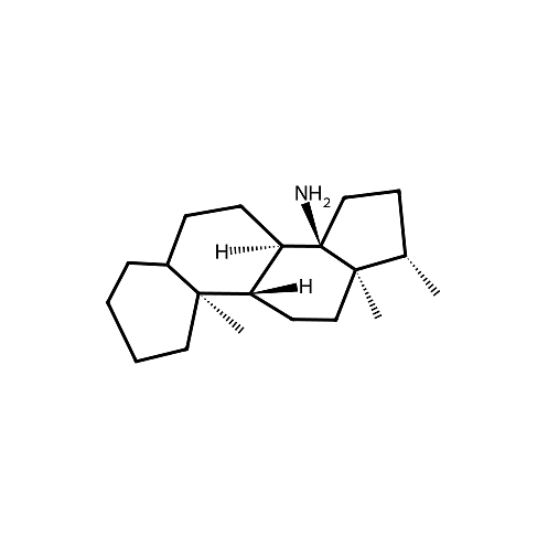 C[C@H]1CC[C@@]2(N)[C@@H]3CCC4CCCC[C@]4(C)[C@H]3CC[C@]12C